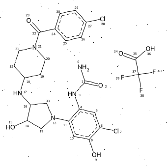 NC(=O)Nc1cc(Cl)c(O)cc1N1CC(O)C(NC2CCN(C(=O)c3ccc(Cl)cc3)CC2)C1.O=C(O)C(F)(F)F